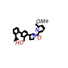 COCc1cccc(C(=O)N2CCC(c3ccc(-c4ccccc4C4CC4)cc3CO)C2)n1